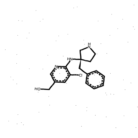 OCc1cnc(N[C@@]2(Cc3ccccc3)CCNC2)c(Cl)c1